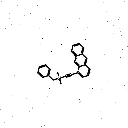 C[Si](C)(C#Cc1cccc2cc3ccccc3cc12)Cc1ccccc1